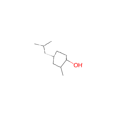 CC(C)CC1CCC(O)C(C)C1